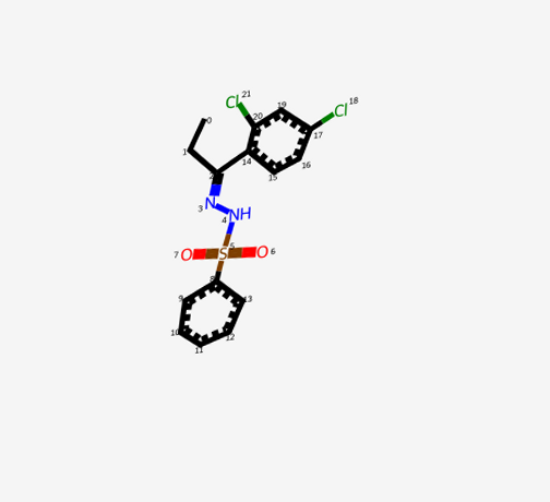 CCC(=NNS(=O)(=O)c1ccccc1)c1ccc(Cl)cc1Cl